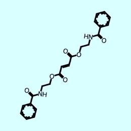 O=C(/C=C/C(=O)OCCNC(=O)c1ccccc1)OCCNC(=O)c1ccccc1